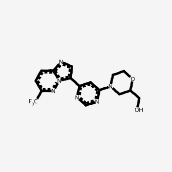 OCC1CN(c2cc(-c3cnc4ccc(C(F)(F)F)nn34)ncn2)CCO1